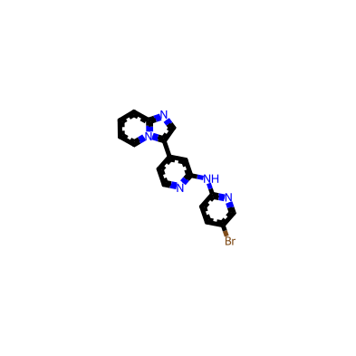 Brc1ccc(Nc2cc(-c3cnc4ccccn34)ccn2)nc1